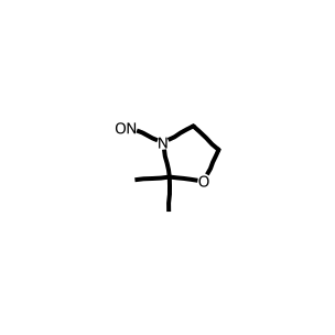 CC1(C)OCCN1N=O